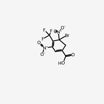 O=C(O)C1=CC([N+](=O)[O-])=C(C(F)(F)F)C(Br)([N+](=O)[O-])C1